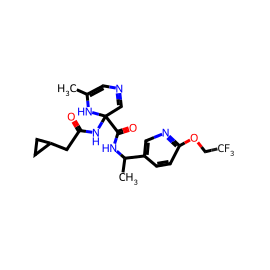 CC1=CN=CC(NC(=O)CC2CC2)(C(=O)NC(C)c2ccc(OCC(F)(F)F)nc2)N1